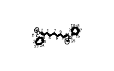 C[P@](=O)(/C=C/CCCCC/C=C/[P@](C)(=O)c1ccccc1)c1ccccc1